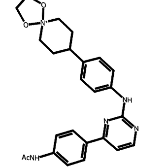 CC(=O)Nc1ccc(-c2ccnc(Nc3ccc(C4CC[N+]5(CC4)OCCO5)cc3)n2)cc1